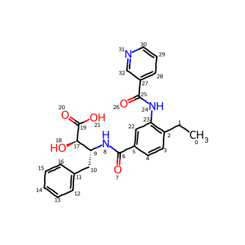 CCc1ccc(C(=O)N[C@H](Cc2ccccc2)[C@@H](O)C(=O)O)cc1NC(=O)c1cccnc1